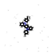 CCc1ccc(-n2c3ccccc3c3cc4c(cc32)c2ccccc2n4-c2ccc(C)cc2)cc1